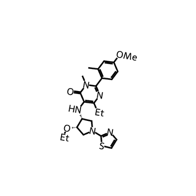 CCO[C@H]1CN(c2nccs2)C[C@H]1Nc1c(CC)nc(-c2ccc(OC)cc2C)n(C)c1=O